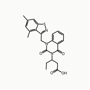 CCC(CC(=O)O)n1c(=O)c2ccccc2n(Cc2nsc3cc(C)cc(C)c23)c1=O